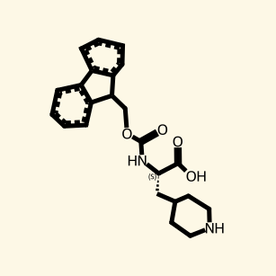 O=C(N[C@@H](CC1CCNCC1)C(=O)O)OCC1c2ccccc2-c2ccccc21